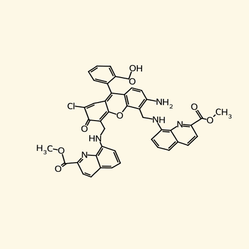 COC(=O)c1ccc2cccc(NCc3c4oc5c(CNc6cccc7ccc(C(=O)OC)nc67)c(N)ccc5c(-c5ccccc5C(=O)O)c-4cc(Cl)c3=O)c2n1